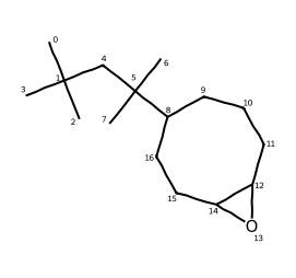 CC(C)(C)CC(C)(C)C1CCCC2OC2CC1